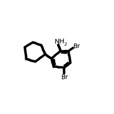 Nc1c(Br)cc(Br)cc1C1CCCCC1